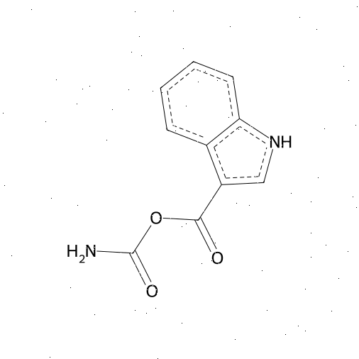 NC(=O)OC(=O)c1c[nH]c2ccccc12